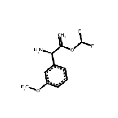 C=C(OC(F)F)[C@H](N)c1cccc(OC(F)(F)F)c1